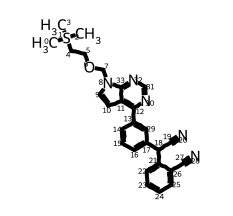 CS(C)(C)CCOCn1ccc2c(-c3cccc(C(C#N)c4ccccc4C#N)c3)ncnc21